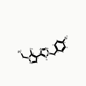 CC(C)Cn1ncc(-c2nnn(Cc3ccc(Br)cc3)n2)c1I